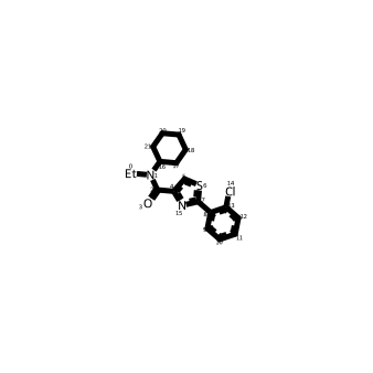 CCN(C(=O)c1csc(-c2ccccc2Cl)n1)C1CCCCC1